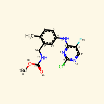 Cc1ccc(Nc2nc(Cl)ncc2F)cc1CNC(=O)OC(C)(C)C